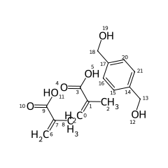 C=C(C)C(=O)O.C=C(C)C(=O)O.OCc1ccc(CO)cc1